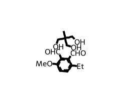 CC(CO)(CO)CO.CCc1ccc(OC)c(C=O)c1C=O